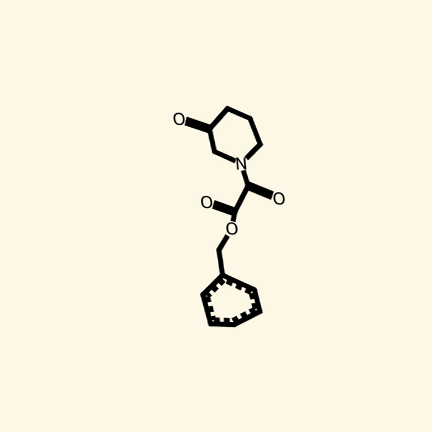 O=C1CCCN(C(=O)C(=O)OCc2ccccc2)C1